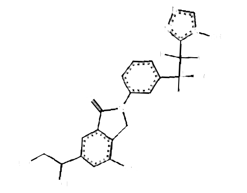 Cn1cnnc1C(F)(F)[C@](C)(F)c1cccc(N2Cc3c(cc(C(O)CO)cc3C(F)(F)F)C2=O)c1